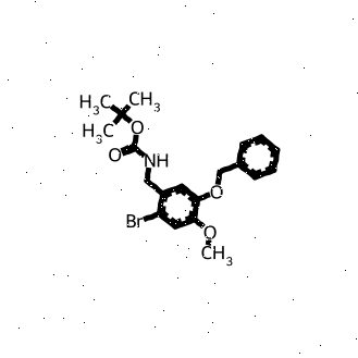 COc1cc(Br)c(CNC(=O)OC(C)(C)C)cc1OCc1ccccc1